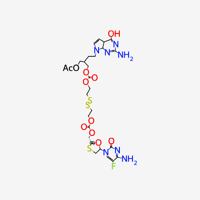 CC(=O)OCC(CCN1C=CC2C(O)=NC(N)=NC21)COC(=O)OCCSSCCOC(=O)OC[C@@H]1OC(n2cc(F)c(N)nc2=O)CS1